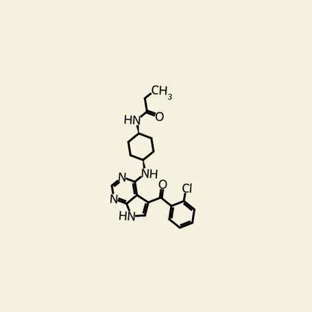 CCC(=O)N[C@H]1CC[C@@H](Nc2ncnc3[nH]cc(C(=O)c4ccccc4Cl)c23)CC1